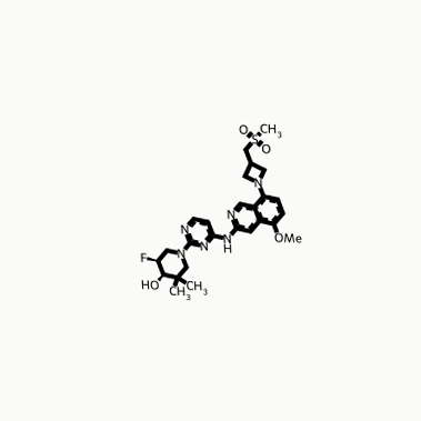 COc1ccc(N2CC(CS(C)(=O)=O)C2)c2cnc(Nc3ccnc(N4C[C@H](F)[C@H](O)C(C)(C)C4)n3)cc12